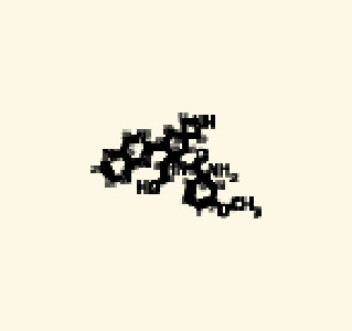 COC1=CC=CC(N)(C(=O)NC2(CCO)CC3(CNC3)CC2c2ncc3nccnc3n2)C1